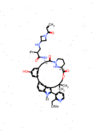 C=CC(=O)N1CC(NCC(C(=O)N[C@H]2Cc3cc(O)cc(c3)-c3ccc4c(c3)c(c(-c3cccnc3COC)n4CC)CC(C)(C)COC(=O)[C@@H]3CCCN(N3)C2=O)C(C)C)C1